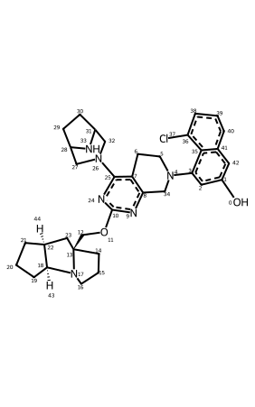 Oc1cc(N2CCc3c(nc(OC[C@@]45CCCN4[C@H]4CCC[C@H]4C5)nc3N3CC4CCC(C3)N4)C2)c2c(Cl)cccc2c1